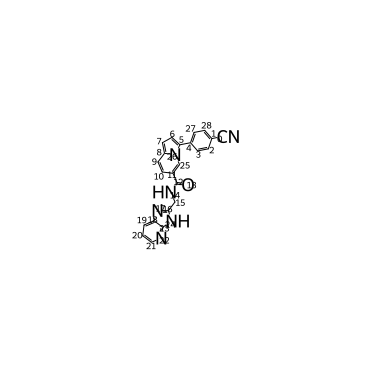 N#Cc1ccc(-c2ccc3ccc(C(=O)NCc4nc5cccnc5[nH]4)cn23)cc1